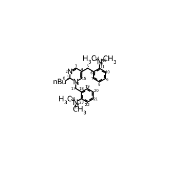 CCCCC1N=CC(Cc2ccccc2N(C)C)=CN1Cc1ccccc1N(C)C